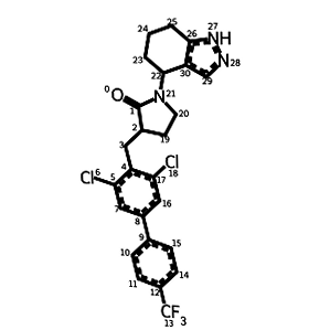 O=C1C(Cc2c(Cl)cc(-c3ccc(C(F)(F)F)cc3)cc2Cl)CCN1C1CCCc2[nH]ncc21